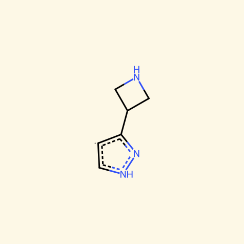 [c]1c[nH]nc1C1CNC1